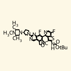 C[C@@H]1CN([C@@H]2CCN(c3ncc4c5c(c(-c6ncc(F)c7sc(NC(=O)OC(C)(C)C)c(C#N)c67)c(F)c4n3)COC5)C2)C[C@@H](C)N1C